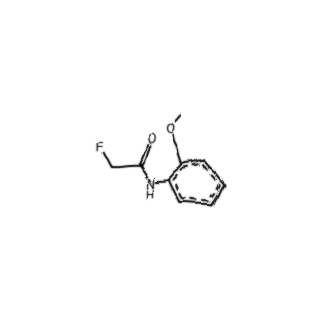 COc1ccccc1NC(=O)CF